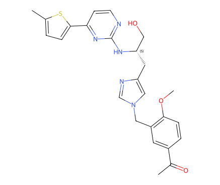 COc1ccc(C(C)=O)cc1Cn1cnc(C[C@@H](CO)Nc2nccc(-c3ccc(C)s3)n2)c1